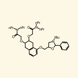 CCCN(CCC)C(=O)COC1Cc2cccc(OCC3CN(C(C)(C)C)C(c4ccccc4)O3)c2CC1OCC(=O)N(CCC)CCC